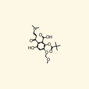 COCOc1cc(O)c(C(=O)C=CN(C)C)c(C(=O)O)c1OC(=O)C(C)(C)C